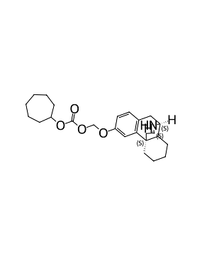 O=C(OCOc1ccc2c(c1)[C@]13CCCC[C@@H]1[C@H](C2)NCC3)OC1CCCCCC1